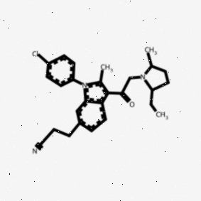 CCC1CCC(C)N1CC(=O)c1c(C)n(-c2ccc(Cl)cc2)c2cc(CCC#N)ccc12